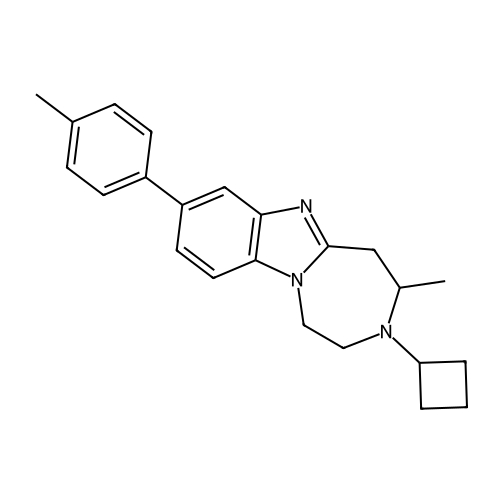 Cc1ccc(-c2ccc3c(c2)nc2n3CCN(C3CCC3)C(C)C2)cc1